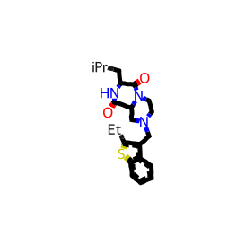 CCc1sc2ccccc2c1CN1CCN2C(=O)C(CC(C)C)NC(=O)C2C1